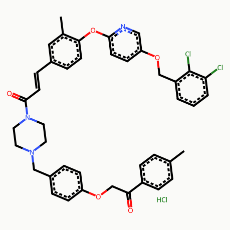 Cc1ccc(C(=O)COc2ccc(CN3CCN(C(=O)C=Cc4ccc(Oc5ccc(OCc6cccc(Cl)c6Cl)cn5)c(C)c4)CC3)cc2)cc1.Cl